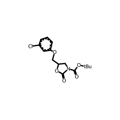 CC(C)(C)OC(=O)N1CC(COc2cccc(Cl)c2)OC1=O